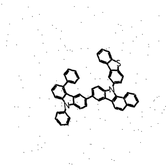 c1ccc(-c2cccc3c2c2cc(-c4ccc5c(c4)c4ccc6ccccc6c4n5-c4ccc5sc6ccccc6c5c4)ccc2n3-c2ccccc2)cc1